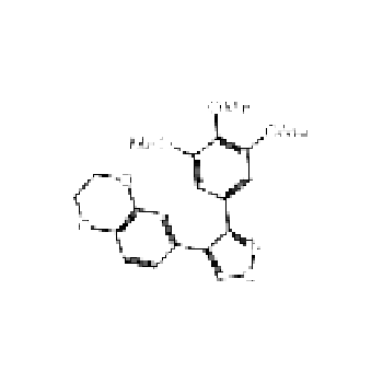 COc1cc(-c2nocc2-c2ccc3c(c2)OCCO3)cc(OC)c1OC